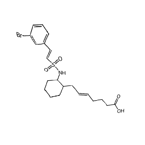 O=C(O)CCC/C=C/CC1CCCCC1NS(=O)(=O)/C=C/c1cccc(Br)c1